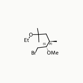 CCOC(C)(C)C[C@@H](C)[C@@H](CBr)OC